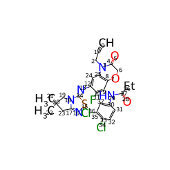 C#CCN1C(=O)COc2cc(F)c(/N=c3\snc4n3CC(C)(C)C4)cc21.CCC(=O)Nc1ccc(Cl)c(Cl)c1